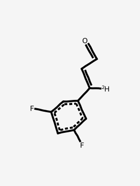 [2H]C(=CC=O)c1cc(F)cc(F)c1